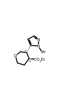 CCOC(=O)[C@H]1CCOC[C@@H]1c1ccnn1C(C)C